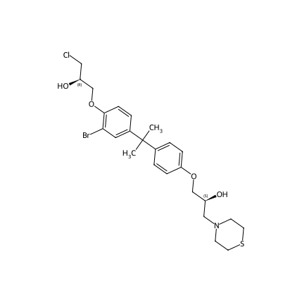 CC(C)(c1ccc(OC[C@@H](O)CN2CCSCC2)cc1)c1ccc(OC[C@@H](O)CCl)c(Br)c1